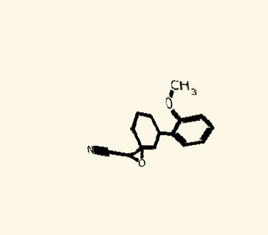 COc1ccccc1C1CCCC2(C1)OC2C#N